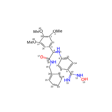 COc1cc([C@@H](Nc2ccc(C(=N)NO)cc2)C(=O)NCc2ccccc2)cc(OC)c1OC